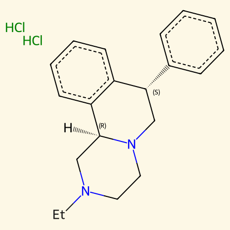 CCN1CCN2C[C@@H](c3ccccc3)c3ccccc3[C@@H]2C1.Cl.Cl